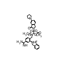 CCO[C@](OC(C)=O)(C(=O)NCc1ccc(C(=N)N)cc1NCc1ccccc1F)N1Cc2ccc(N3CCCC3)cc2C1=O